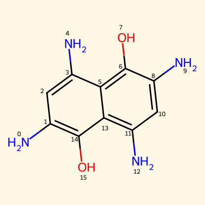 Nc1cc(N)c2c(O)c(N)cc(N)c2c1O